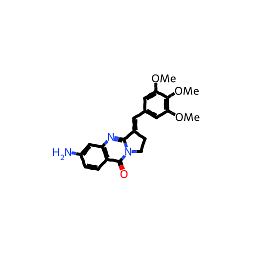 COc1cc(C=C2CCn3c2nc2cc(N)ccc2c3=O)cc(OC)c1OC